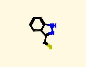 S=[C]c1n[nH]c2ccccc12